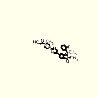 CC1CN(c2ncc(-c3ccc4c(=O)n(C)n([C@@H](C)c5ccccc5F)c4c3)cn2)CCN1C(=O)CO